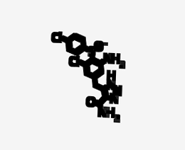 NC(=O)c1nn[nH]c1Cc1cc(N)c([S+]([O-])c2ccc(Cl)cc2)c(Cl)c1